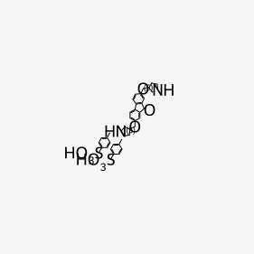 Cc1ccc(S(=O)(=O)O)cc1.Cc1ccc(S(=O)(=O)O)cc1.O=C1c2cc(O[C@H]3CCNC3)ccc2-c2ccc(O[C@H]3CCNC3)cc21